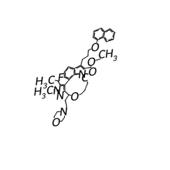 CCOC(=O)c1c(CCCOc2cccc3ccccc23)c2ccc(F)c3c2n1CCCCOC(CCN1CCOCC1)c1nn(C)c(CC)c1-3